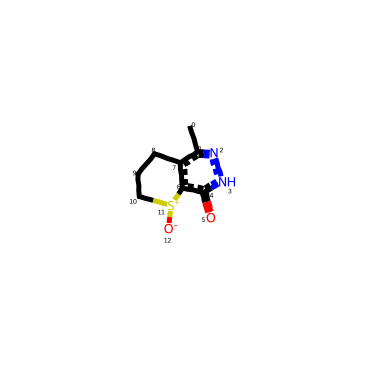 Cc1n[nH]c(=O)c2c1CCC[S+]2[O-]